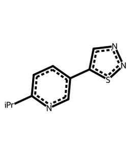 CC(C)c1ccc(-c2cnns2)cn1